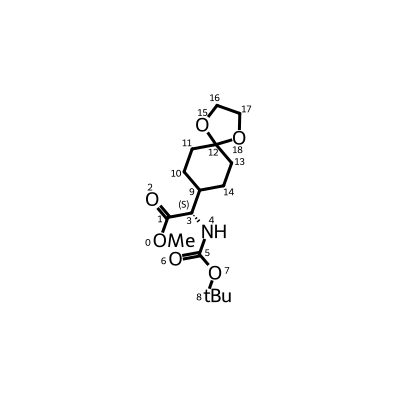 COC(=O)[C@@H](NC(=O)OC(C)(C)C)C1CCC2(CC1)OCCO2